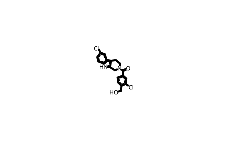 O=C(c1ccc(CO)c(Cl)c1)N1CCc2c([nH]c3ccc(Cl)cc23)C1